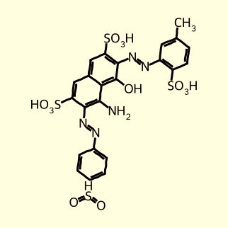 Cc1ccc(S(=O)(=O)O)c(N=Nc2c(S(=O)(=O)O)cc3cc(S(=O)(=O)O)c(N=Nc4ccc([SH](=O)=O)cc4)c(N)c3c2O)c1